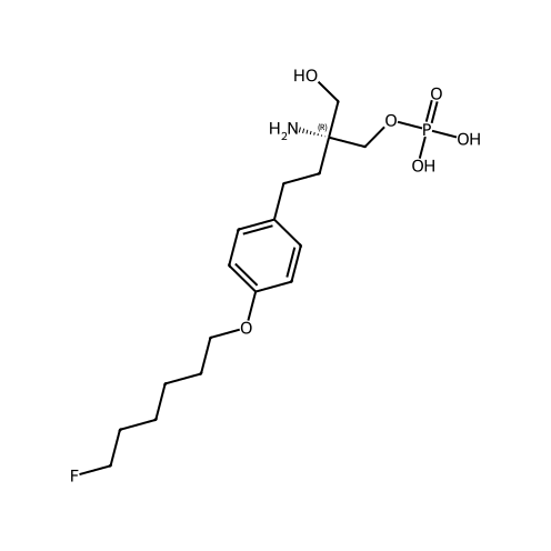 N[C@@](CO)(CCc1ccc(OCCCCCCF)cc1)COP(=O)(O)O